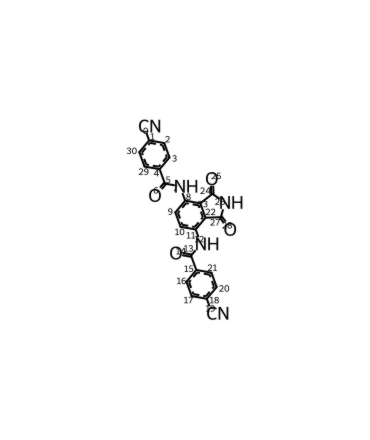 N#Cc1ccc(C(=O)Nc2ccc(NC(=O)c3ccc(C#N)cc3)c3c2C(=O)NC3=O)cc1